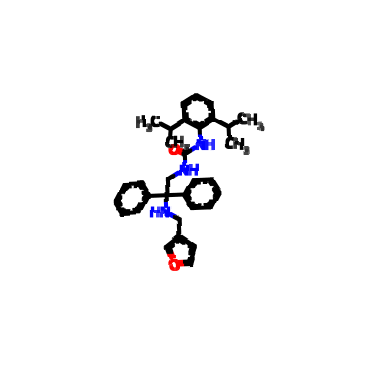 CC(C)c1cccc(C(C)C)c1NC(=O)NCC(NCc1ccoc1)(c1ccccc1)c1ccccc1